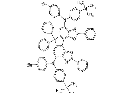 CC(C)(C)c1ccc(N(c2ccc([Si](C)(C)C)cc2)c2cc3c(c4oc(-c5ccccc5)nc24)-c2c(cc(N(c4ccc(C(C)(C)C)cc4)c4ccc([Si](C)(C)C)cc4)c4nc(-c5ccccc5)oc24)C3(c2ccccc2)c2ccccc2)cc1